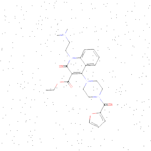 CCOC(=O)c1c(N2CCN(C(=O)c3ccco3)CC2)c2ccccc2n(CCN(C)C)c1=O